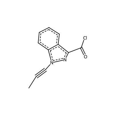 CC#Cn1nc(C(=O)Cl)c2ccccc21